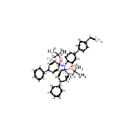 C=Cc1ccc(-c2ccc(N(C3(OC(C)(C)C)C=CC(c4ccccc4)C=C3)C3(OC(C)(C)C)C=CC(c4ccccc4)C=C3)cc2)cc1